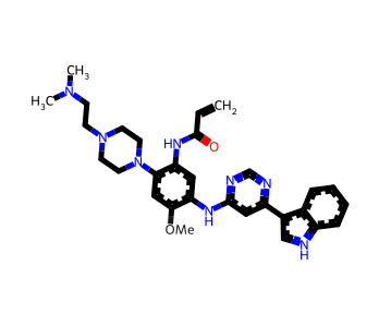 C=CC(=O)Nc1cc(Nc2cc(-c3c[nH]c4ccccc34)ncn2)c(OC)cc1N1CCN(CCN(C)C)CC1